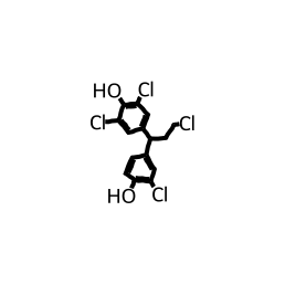 Oc1ccc(C(CCCl)c2cc(Cl)c(O)c(Cl)c2)cc1Cl